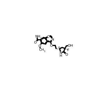 COc1cc2c(OCC[C@@H]3C[C@@](F)(CO)C(=O)N3)nccc2cc1C(N)=O